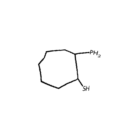 PC1CCCCCC1S